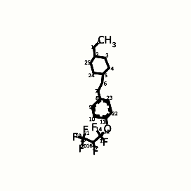 CCC1CCC(CCc2ccc(OC(F)(F)C(F)C(F)(F)F)cc2)CC1